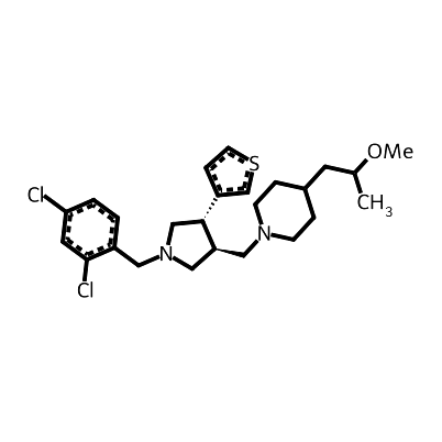 COC(C)CC1CCN(C[C@H]2CN(Cc3ccc(Cl)cc3Cl)C[C@@H]2c2ccsc2)CC1